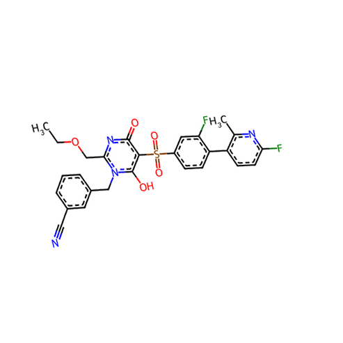 CCOCc1nc(=O)c(S(=O)(=O)c2ccc(-c3ccc(F)nc3C)c(F)c2)c(O)n1Cc1cccc(C#N)c1